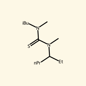 CCCC(CC)N(C)C(=S)N(C)C(C)CC